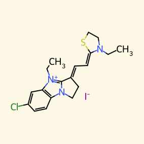 CCN1CCSC1=CC=C1CCn2c1[n+](CC)c1cc(Cl)ccc12.[I-]